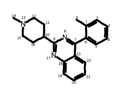 Cc1ccccc1-c1nc(C2CCN(C)CC2)nc2ccccc12